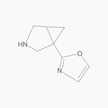 c1coc(C23CNCC2C3)n1